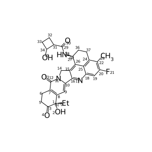 CC[C@@]1(O)C(=O)CCc2c1cc1n(c2=O)Cc2c-1nc1cc(F)c(C)c3c1c2[C@@H](NC(=O)C1CCC1O)CC3